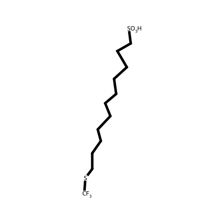 O=S(=O)(O)CCCCCCCCCCCSC(F)(F)F